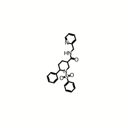 O=C(NCc1ccccn1)C1CCC(c2ccccc2)N(S(=O)(=O)c2ccccc2)C1